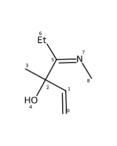 C=CC(C)(O)C(CC)=NC